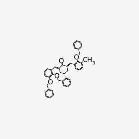 Cc1cccc(/C=C2\CCC/C(=C\c3cccc(OCc4ccccc4)c3OCc3ccccc3)C2=O)c1OCc1ccccc1